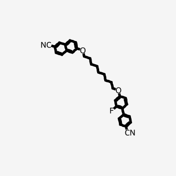 N#Cc1ccc(-c2ccc(OCCCCCCCCCOc3ccc4cc(C#N)ccc4c3)cc2F)cc1